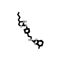 CCCCC1CS/C(=N\c2ccc(CCNc3nc4c(C)cccc4s3)cc2)N1